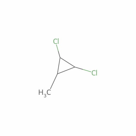 CC1C(Cl)C1Cl